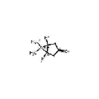 CS1(C)[C@@H]2CC(=O)C[C@@H]21